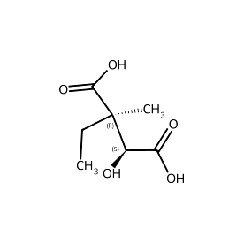 CC[C@@](C)(C(=O)O)[C@H](O)C(=O)O